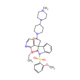 CCOc1ncccc1C1(CC(=O)N2CCC(N3CCN(C)CC3)CC2)C(=O)N(S(=O)(=O)c2ccccc2OC)c2ccccc21